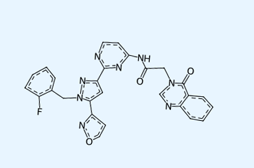 O=C(Cn1cnc2ccccc2c1=O)Nc1ccnc(-c2cc(-c3ccon3)n(Cc3ccccc3F)n2)n1